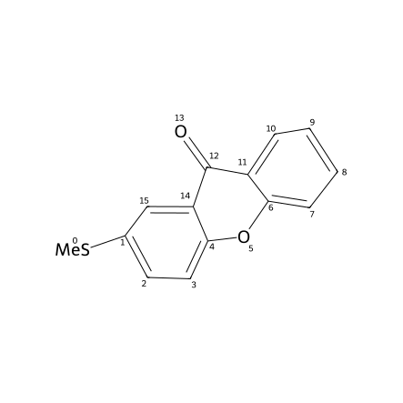 CSc1ccc2oc3ccccc3c(=O)c2c1